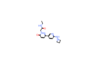 CCNC(=O)Cn1nc(-c2ccc(NN3CCC3)nc2)ccc1=O